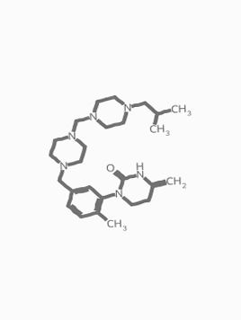 C=C1CCN(c2cc(CN3CCN(CN4CCN(CC(C)C)CC4)CC3)ccc2C)C(=O)N1